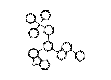 c1ccc(-c2cccc3c(-c4cc(-c5cccc([Si](c6ccccc6)(c6ccccc6)c6ccccc6)c5)cc(-c5cccc6oc7ccccc7c56)c4)cccc23)cc1